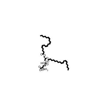 CCCCC/C=C\C/C=C\C/C=C\C/C=C\CCCC(=O)OC[C@H](COP(=O)(O)OC[C@H](N)C(=O)O)OC(=O)CCCCCCC/C=C\C/C=C\CCCCC